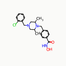 CC1CN(Cc2ccccc2Cl)CC(C)N1Cc1ccc(C(=O)NO)cc1